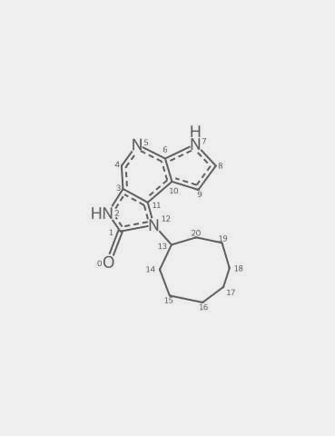 O=c1[nH]c2cnc3[nH]ccc3c2n1C1CCCCCCC1